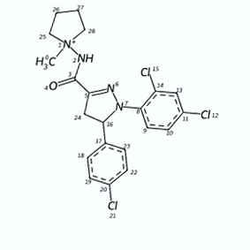 C[N+]1(NC(=O)C2=NN(c3ccc(Cl)cc3Cl)C(c3ccc(Cl)cc3)C2)CCCC1